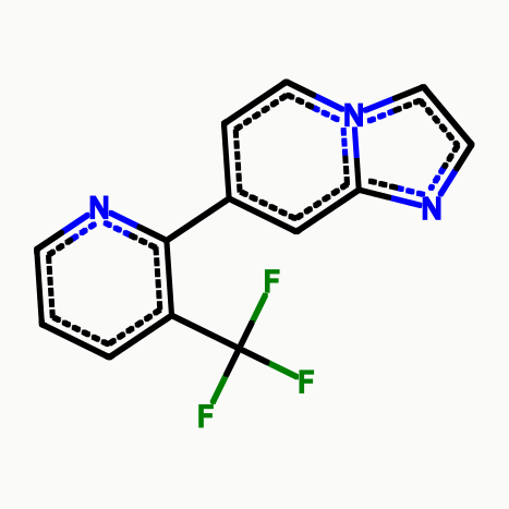 FC(F)(F)c1cccnc1-c1ccn2ccnc2c1